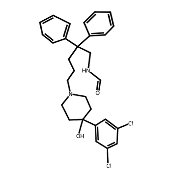 O=CNCC(CCCN1CCC(O)(c2cc(Cl)cc(Cl)c2)CC1)(c1ccccc1)c1ccccc1